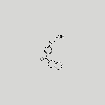 O=C(c1ccc(SCCO)cc1)c1ccc2ccccc2c1